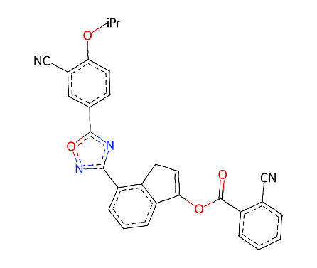 CC(C)Oc1ccc(-c2nc(-c3cccc4c3CC=C4OC(=O)c3ccccc3C#N)no2)cc1C#N